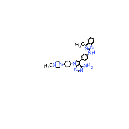 Cc1nc(Nc2ccc(-c3cn([C@H]4CC[C@H](N5CCN(C)CC5)CC4)c4ncnc(N)c34)cc2)nc2ccccc12